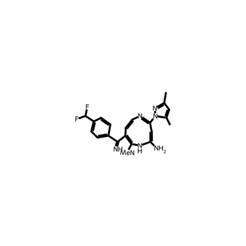 CNc1[nH]c(N)cc(-n2nc(C)cc2C)nccc1C(=N)c1ccc(C(F)F)cc1